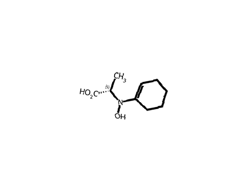 C[C@@H](C(=O)O)N(O)C1=CCCCC1